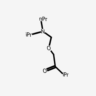 CCCN(COCC(=O)C(C)C)C(C)C